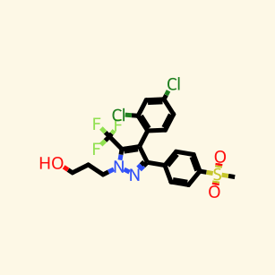 CS(=O)(=O)c1ccc(-c2nn(CCCO)c(C(F)(F)F)c2-c2ccc(Cl)cc2Cl)cc1